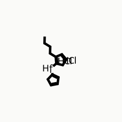 CCCCC1=[C]([Hf][C]2=CC=CC2)CC=C1.Cl.Cl